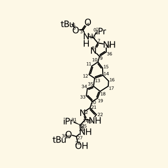 CC(C)[C@H](NC(=O)OC(C)(C)C)c1nc(-c2ccc3c(c2)CCc2cc(-c4c[nH]c([C@@H](NC(O)OC(C)(C)C)C(C)C)n4)ccc2-3)c[nH]1